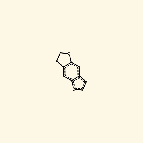 [c]1cc2cc3c(cc2o1)CCO3